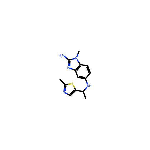 Cc1ncc(C(C)Nc2ccc3c(c2)nc(N)n3C)s1